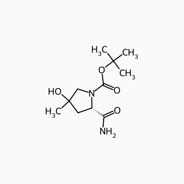 CC1(O)C[C@@H](C(N)=O)N(C(=O)OC(C)(C)C)C1